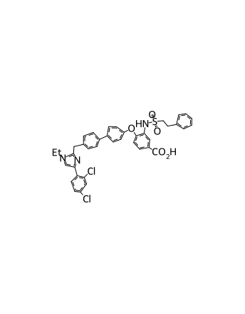 CCn1cc(-c2ccc(Cl)cc2Cl)nc1Cc1ccc(-c2ccc(Oc3ccc(C(=O)O)cc3NS(=O)(=O)CCc3ccccc3)cc2)cc1